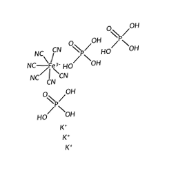 N#[C][Fe-3]([C]#N)([C]#N)([C]#N)([C]#N)[C]#N.O=P(O)(O)O.O=P(O)(O)O.O=P(O)(O)O.[K+].[K+].[K+]